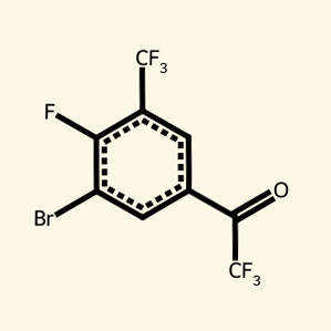 O=C(c1cc(Br)c(F)c(C(F)(F)F)c1)C(F)(F)F